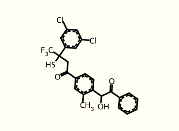 Cc1cc(C(=O)CC(S)(c2cc(Cl)cc(Cl)c2)C(F)(F)F)ccc1C(O)C(=O)c1ccccc1